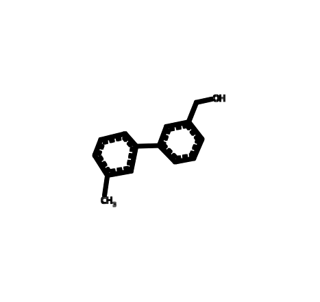 Cc1cccc(-c2cccc(CO)c2)c1